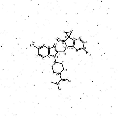 CN(C)C(=O)N1CCC(n2c(CN3C(=O)C4(CC4)c4ccc(F)cc43)nc3cc(Cl)ccc32)CC1